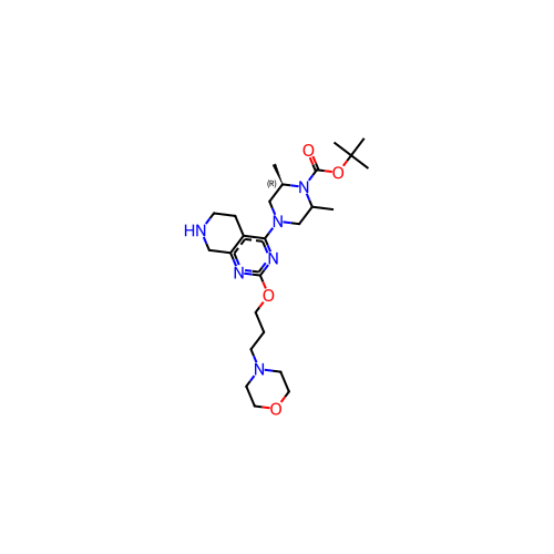 CC1CN(c2nc(OCCCN3CCOCC3)nc3c2CCNC3)C[C@@H](C)N1C(=O)OC(C)(C)C